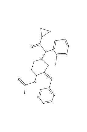 CC(=O)SC1CCN(C(C(=O)C2CC2)c2ccccc2F)CC1=Cc1cnccn1